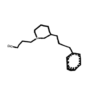 O=CCCCN1CCCC(CCCc2ccccc2)C1